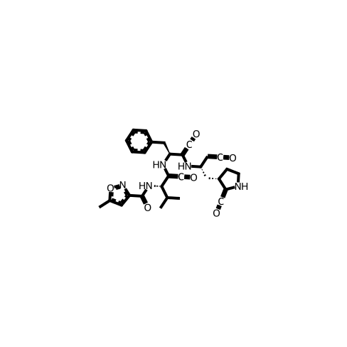 Cc1cc(C(=O)N[C@H](C(=C=O)N[C@@H](Cc2ccccc2)C(=C=O)N[C@H](C=C=O)C[C@@H]2CCNC2=C=O)C(C)C)no1